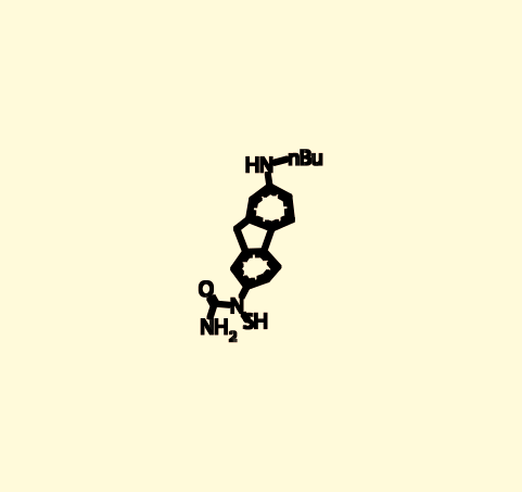 CCCCNc1ccc2c(c1)Cc1cc(N(S)C(N)=O)ccc1-2